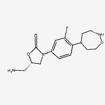 NC[C@H]1CN(c2ccc(N3CCNOCC3)c(F)c2)C(=O)O1